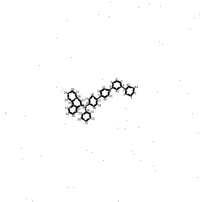 c1ccc(-c2cccc(-c3ccc(-c4ccc(N(c5ccccc5)c5cc6ccccc6c6ccccc56)cc4)cc3)c2)cc1